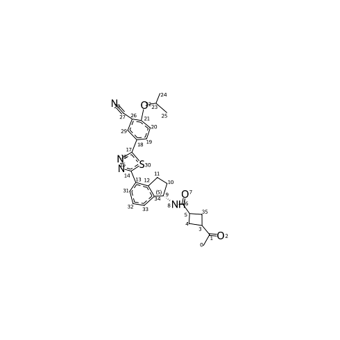 CC(=O)C1CC(C(=O)N[C@H]2CCc3c(-c4nnc(-c5ccc(OC(C)C)c(C#N)c5)s4)cccc32)C1